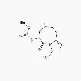 CC(C)(C)OC(=O)NC1CNCCC2=CCC(C(=O)O)N2C1=O